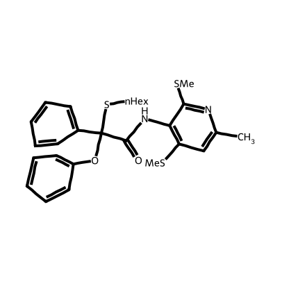 CCCCCCSC(Oc1ccccc1)(C(=O)Nc1c(SC)cc(C)nc1SC)c1ccccc1